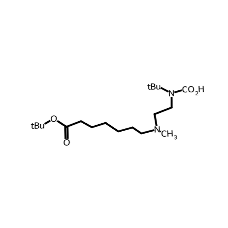 CN(CCCCCCC(=O)OC(C)(C)C)CCN(C(=O)O)C(C)(C)C